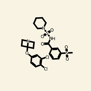 CS(=O)(=O)c1cccc(C(=O)NS(=O)(=O)N2CCCCC2)c1.Clc1ccc(OC23CCN2CC3)cc1Cl